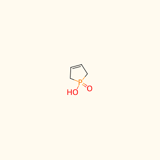 O=P1(O)CC=CC1